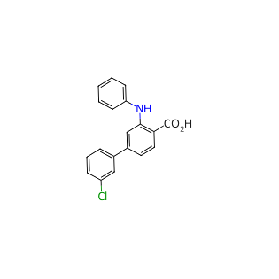 O=C(O)c1ccc(-c2cccc(Cl)c2)cc1Nc1ccccc1